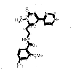 COc1cc(C(F)(F)F)ccc1C(=O)NCCc1nc(-c2ccncn2)cc(=O)n1C